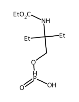 CCOC(=O)NC(CC)(CC)CO[PH](=O)O